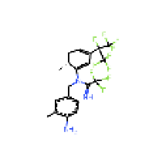 Cc1cc(CN(C(=N)C(F)(F)F)C2=CC(C(F)(C(F)(F)F)C(F)(F)F)=CC[C@H]2C)ccc1N